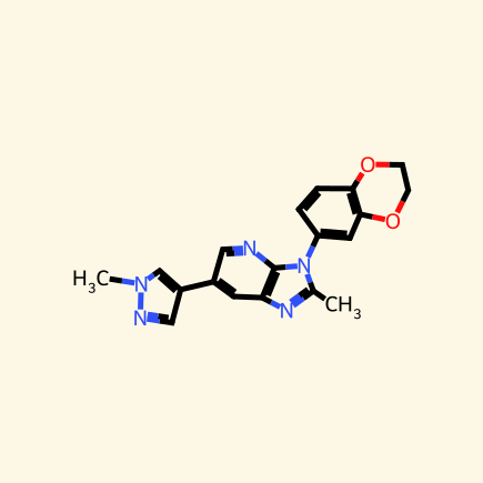 Cc1nc2cc(-c3cnn(C)c3)cnc2n1-c1ccc2c(c1)OCCO2